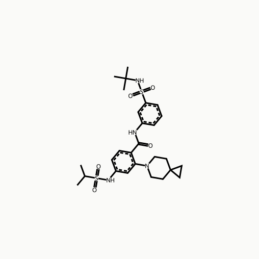 CC(C)S(=O)(=O)Nc1ccc(C(=O)Nc2cccc(S(=O)(=O)NC(C)(C)C)c2)c(N2CCC3(CC2)CC3)c1